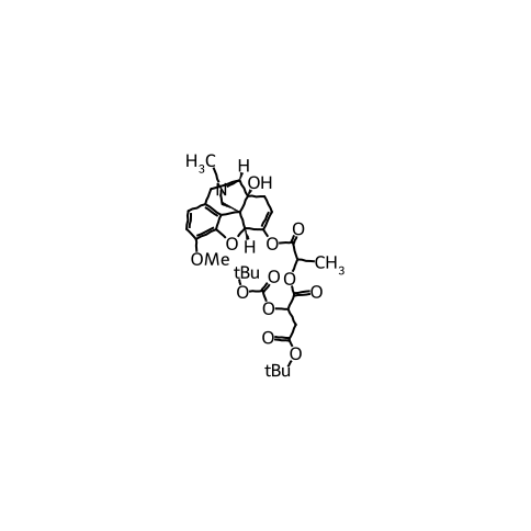 COc1ccc2c3c1O[C@H]1C(OC(=O)C(C)OC(=O)C(CC(=O)OC(C)(C)C)OC(=O)OC(C)(C)C)=CC[C@@]4(O)[C@@H](C2)N(C)CC[C@]314